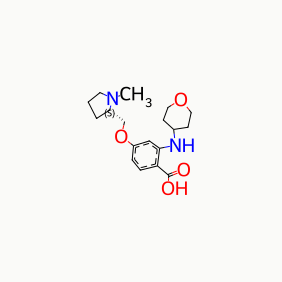 CN1CCC[C@H]1COc1ccc(C(=O)O)c(NC2CCOCC2)c1